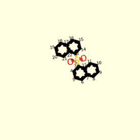 O=S(=O)(c1cccc2ccccc12)c1cccc2ccccc12